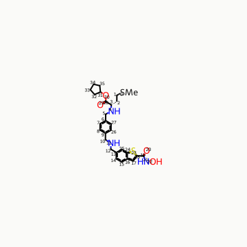 CSCC[C@H](NCc1ccc(CNCc2ccc3cc(C(=O)NO)sc3c2)cc1)C(=O)OC1CCCC1